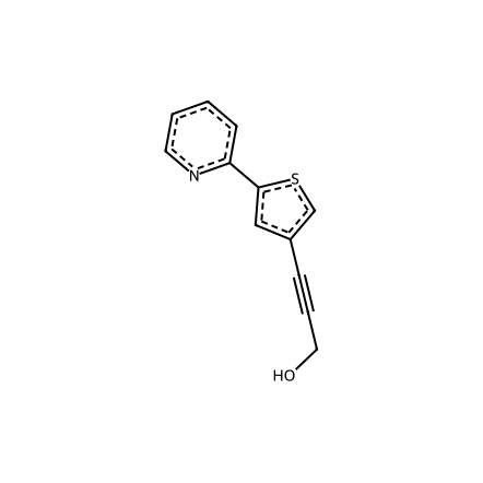 OCC#Cc1csc(-c2ccccn2)c1